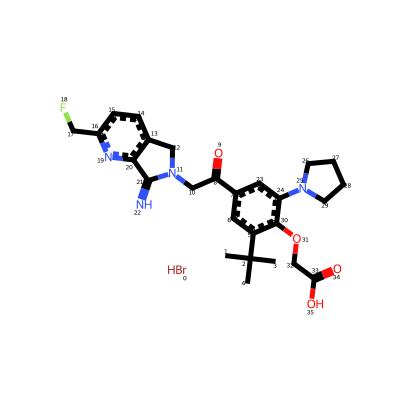 Br.CC(C)(C)c1cc(C(=O)CN2Cc3ccc(CF)nc3C2=N)cc(N2CCCC2)c1OCC(=O)O